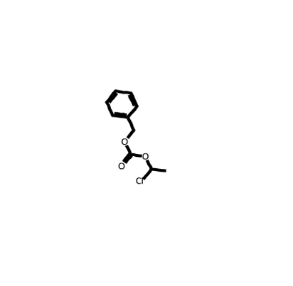 CC(Cl)OC(=O)OCc1ccccc1